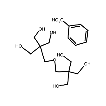 O=C(O)c1ccccc1.OCC(CO)(CO)COCC(CO)(CO)CO